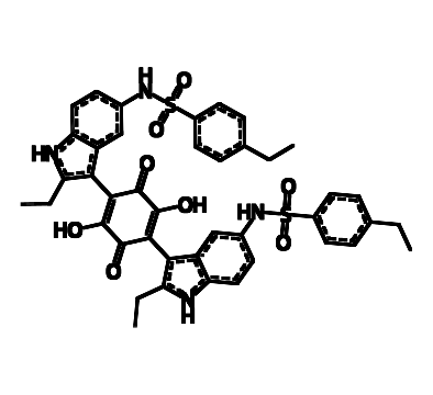 CCc1ccc(S(=O)(=O)Nc2ccc3[nH]c(CC)c(C4=C(O)C(=O)C(c5c(CC)[nH]c6ccc(NS(=O)(=O)c7ccc(CC)cc7)cc56)=C(O)C4=O)c3c2)cc1